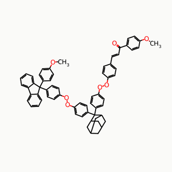 COc1ccc(C(=O)C=Cc2ccc(OOc3ccc(C4(c5ccc(OOc6ccc(C7(c8ccc(OC)cc8)c8ccccc8-c8ccccc87)cc6)cc5)C5CC6CC(C5)CC4C6)cc3)cc2)cc1